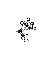 COC(=O)N[C@H](C(=O)Nc1ccccc1CC[C@@H]1CN[C@H](c2nc3ccc(C#N)cc3[nH]2)CO1)C(c1ccccc1)c1ccccc1